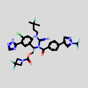 CC(C)(F)CCNC(=N)N(C(=O)c1ccc(-c2cnn(C(F)F)c2)cc1)[C@H](COC(=O)N1CC(F)(F)C1)c1ccc(Cl)c(-c2ncn[nH]2)c1